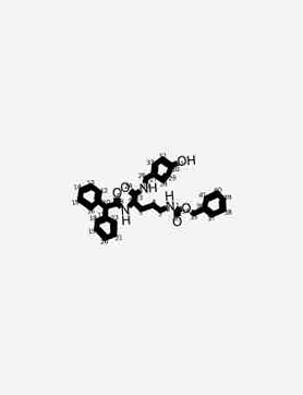 O=C(NCCCC(NC(=O)C(c1ccccc1)c1ccccc1)C(=O)NCc1ccc(O)cc1)OCc1ccccc1